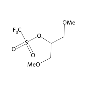 COCC(COC)OS(=O)(=O)C(F)(F)F